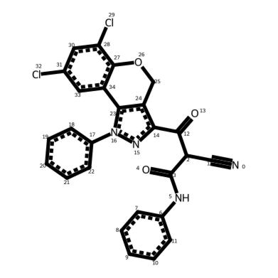 N#CC(C(=O)Nc1ccccc1)C(=O)c1nn(-c2ccccc2)c2c1COc1c(Cl)cc(Cl)cc1-2